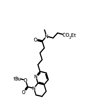 CCOC(=O)CCN(C)C(=O)CCCCc1ccc2c(n1)N(C(=O)OC(C)(C)C)CCC2